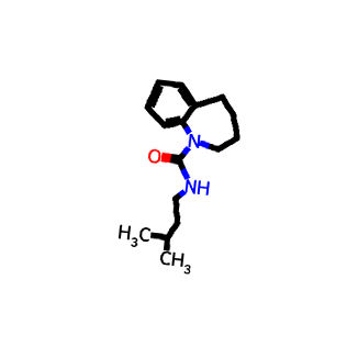 CC(C)CCNC(=O)N1CCCCc2ccccc21